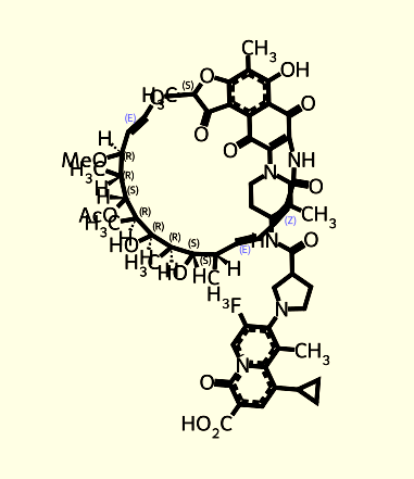 CO[C@H]1/C=C/O[C@@]2(C)Oc3c(C)c(O)c4c(c3C2=O)C(=O)C(N2CCC(NC(=O)C3CCN(c5c(F)cn6c(=O)c(C(=O)O)cc(C7CC7)c6c5C)C3)CC2)=C(NC(=O)/C(C)=C\C=C\[C@H](C)[C@H](O)[C@@H](C)[C@@H](O)[C@@H](C)[C@H](OC(C)=O)[C@@H]1C)C4=O